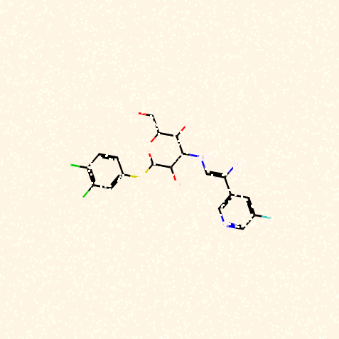 N/C(=C\NC1C(O)C(CO)OC(Sc2ccc(Cl)c(Cl)c2)C1O)c1cncc(F)c1